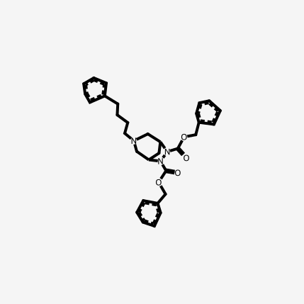 O=C(OCc1ccccc1)N1C2CC(CN(CCCCc3ccccc3)C2)N1C(=O)OCc1ccccc1